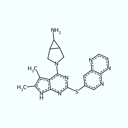 Cc1[nH]c2nc(Sc3cnc4nccnc4c3)nc(N3CC4C(N)C4C3)c2c1C